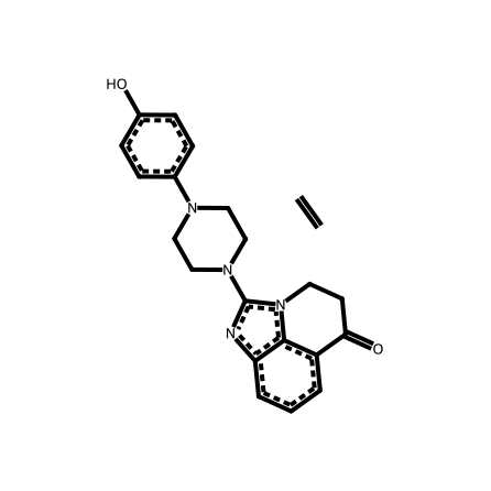 C=C.O=C1CCn2c(N3CCN(c4ccc(O)cc4)CC3)nc3cccc1c32